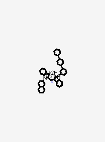 C=c1/c(=C\c2c(C)c3ccccc3n2-c2ccc3ccccc3c2)c2ccccc2n1-c1cccc(-c2ccc(-c3ccccc3)cc2)c1